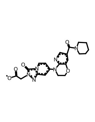 COC(=O)Cn1nc2cc(N3CCOc4cc(C(=O)N5CCCCC5)cnc43)ccn2c1=O